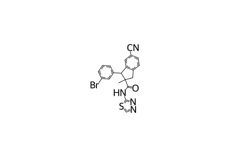 CC1(C(=O)Nc2nncs2)Cc2ccc(C#N)cc2C1c1cccc(Br)c1